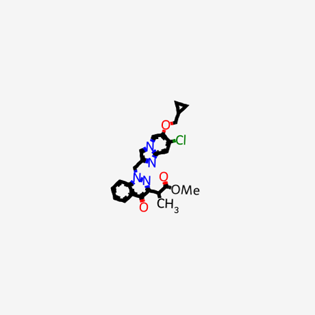 COC(=O)C(C)c1nn(Cc2cn3cc(OCC4CC4)c(Cl)cc3n2)c2ccccc2c1=O